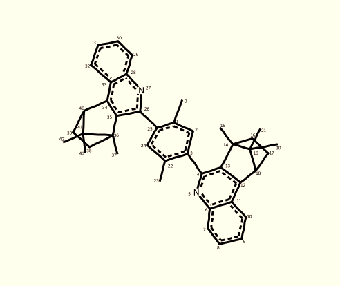 Cc1cc(-c2nc3ccccc3c3c2C2(C)CCC3C2(C)C)c(C)cc1-c1nc2ccccc2c2c1C1(C)CCC2C1(C)C